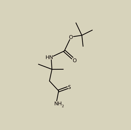 CC(C)(CC(N)=S)NC(=O)OC(C)(C)C